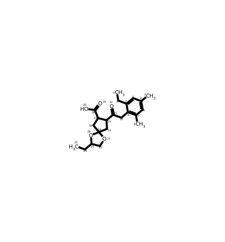 CCc1cc(C)cc(C)c1CC(=O)C1CC2(CC1C(=O)O)OCC(CC)O2